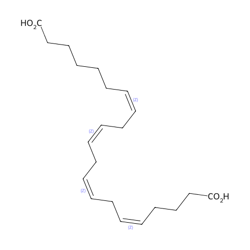 O=C(O)CCC/C=C\C/C=C\C/C=C\C/C=C\CCCCCC(=O)O